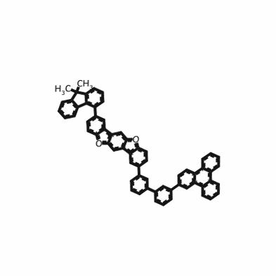 CC1(C)c2ccccc2-c2c(-c3ccc4oc5cc6c(cc5c4c3)oc3ccc(-c4cccc(-c5cccc(-c7ccc8c9ccccc9c9ccccc9c8c7)c5)c4)cc36)cccc21